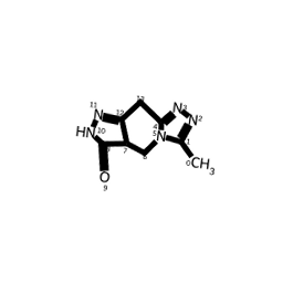 Cc1nnc2n1CC1C(=O)NN=C1C2